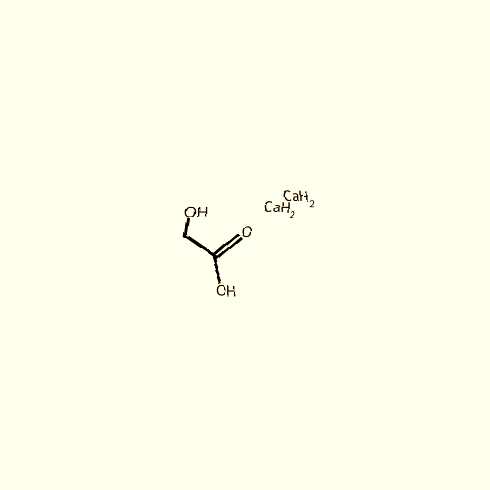 O=C(O)CO.[CaH2].[CaH2]